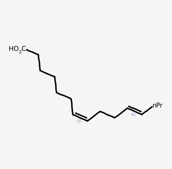 CCC/C=C/CC/C=C\CCCCCC(=O)O